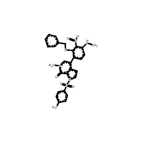 CNc1ccc(-c2cn(C)c(=O)c3c2ccn3S(=O)(=O)c2ccc(C)cc2)c(OCc2ccccc2)c1[N+](=O)[O-]